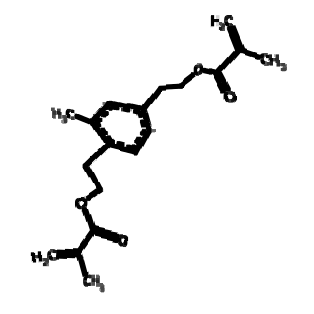 C=C(C)C(=O)OCCc1[c]cc(CCOC(=O)C(=C)C)c(C)[c]1